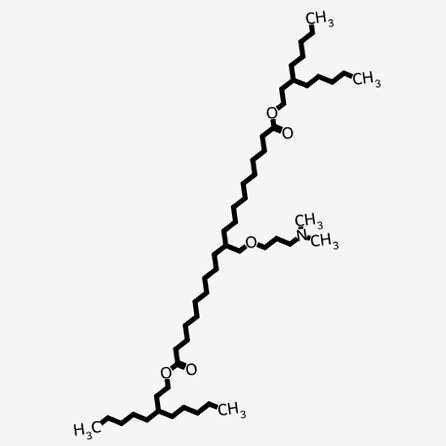 CCCCCC(CCCCC)CCOC(=O)CCCCCCCCCC(CCCCCCCCCC(=O)OCCC(CCCCC)CCCCC)COCCCN(C)C